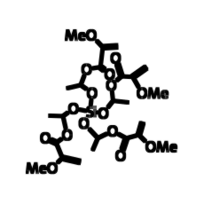 C=C(OC)C(=O)OC(C)O[Si](OC(C)OC(=O)C(=C)OC)(OC(C)OC(=O)C(=C)OC)OC(C)OC(=O)C(=C)OC